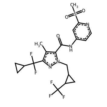 Cc1c(C(F)(F)C2CC2)nn(CC2CC2C(F)(F)F)c1C(=O)Nc1ccnc(S(C)(=O)=O)c1